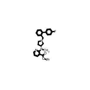 CC(C)OC(=O)c1cccnc1N(C)[C@@H]1CCN(Cc2ccccc2-c2ccc(F)cc2)C1